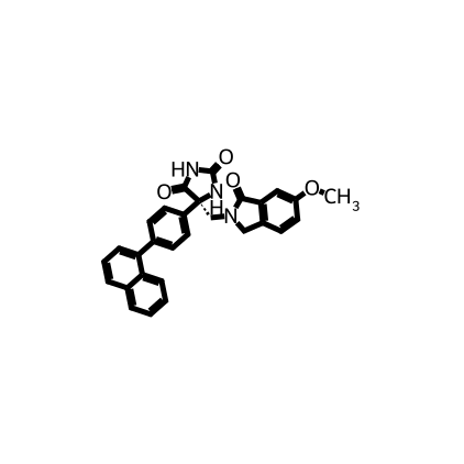 COc1ccc2c(c1)C(=O)N(C[C@@]1(c3ccc(-c4cccc5ccccc45)cc3)NC(=O)NC1=O)C2